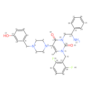 Cc1c(N2CCN(Cc3cccc(O)c3)CC2)c(=O)n(CC(N)c2ccccc2)c(=O)n1Cc1c(F)cccc1F